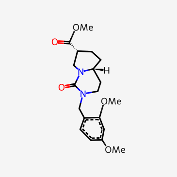 COC(=O)[C@@H]1CC[C@@H]2CCN(Cc3ccc(OC)cc3OC)C(=O)N2C1